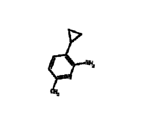 Cc1ccc(C2CC2)c(N)n1